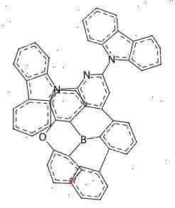 c1ccc(-c2cccc(-c3cc(-n4c5ccccc5c5ccccc54)nc(-n4c5ccccc5c5ccccc54)c3)c2B2c3ccccc3Oc3ccccc32)cc1